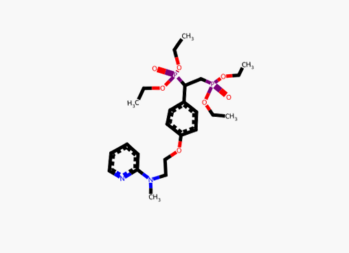 CCOP(=O)(CC(c1ccc(OCCN(C)c2ccccn2)cc1)P(=O)(OCC)OCC)OCC